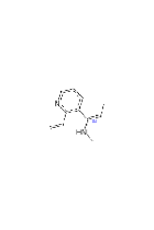 C=Cc1ncccc1/C(=C\C)NC